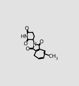 CC1=CC2=C(CC=C1)C(=O)N(C1CCC(=O)NC1=O)C2=O